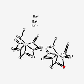 O=[N+]([O-])[Co-3]([N+](=O)[O-])([N+](=O)[O-])([N+](=O)[O-])([N+](=O)[O-])[N+](=O)[O-].O=[N+]([O-])[Co-3]([N+](=O)[O-])([N+](=O)[O-])([N+](=O)[O-])([N+](=O)[O-])[N+](=O)[O-].[Ba+2].[Ba+2].[Ba+2]